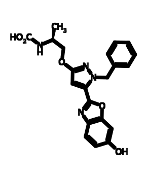 C[C@@H](COc1cc(-c2nc3ccc(O)cc3o2)n(Cc2ccccc2)n1)NC(=O)O